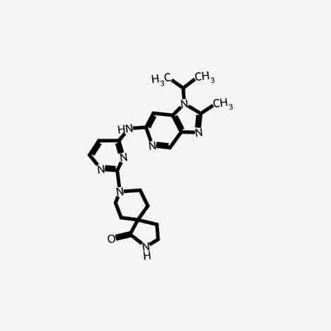 Cc1nc2cnc(Nc3ccnc(N4CCC5(CCNC5=O)CC4)n3)cc2n1C(C)C